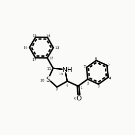 O=C(c1ccccc1)C1CSC(c2ccccc2)N1